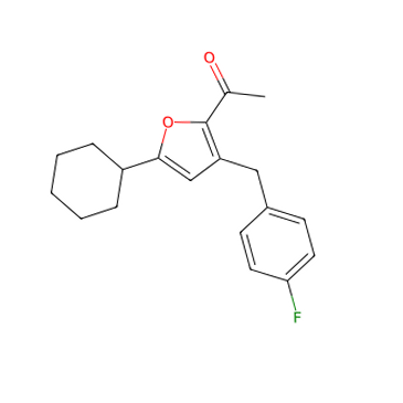 CC(=O)c1oc(C2CCCCC2)cc1Cc1ccc(F)cc1